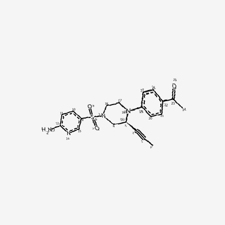 CC#C[C@H]1CN(S(=O)(=O)c2ccc(N)nc2)CCN1c1ccc(C(C)=O)cc1